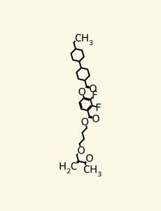 C=C(COCCCCOC(=O)c1ccc(OC(=O)C2CCC(C3CCC(CC)CC3)CC2)c(F)c1F)C(C)=O